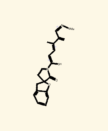 C=C(/C=N\NC)/C(C)=C/C=C(\S)N1CCC2(Cc3ccccc3O2)C1=O